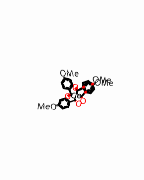 COc1ccc([C](=O)[Ge]([C](=O)c2ccc(OC)cc2)([C](=O)c2ccc(OC)cc2)[C](=O)c2ccc(OC)cc2)cc1